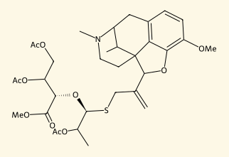 C=C(CS[C@H](O[C@H](C(=O)OC)C(COC(C)=O)OC(C)=O)C(C)OC(C)=O)C1Oc2c(OC)ccc3c2C12CCN(C)C(C3)C2C